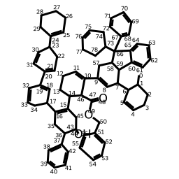 CC1CCC=CC1C1C=C(C2=CCCC(C3=C(C4C=C(C5=CCC(C6=CCCCC6)C=C5)C=CC4)CC(c4ccccc4)C(O)C3)C2C(=O)OCc2ccccc2)CC2C1c1ccccc1C2(c1ccccc1)C1CC=CCC1